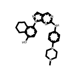 CN1CCN(c2ccc(Nc3ncc4cnn(-c5ccc(O)c6c5CCCC6)c4n3)cc2)CC1